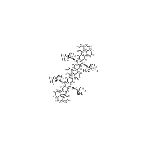 C[SiH](C)C#Cc1c2cc3c(cc2c(C#C[Si](C)(C)C)c2cc4c(cc12)c1cccc2c5cc6c(C#C[Si](C)(C)C)c7cc8c(cc7c(C#C[Si](C)(C)C)c6cc5c5cccc4c5c12)c1cccc2ccc4cccc8c4c21)c1cccc2ccc4cccc3c4c21